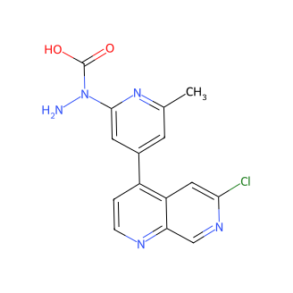 Cc1cc(-c2ccnc3cnc(Cl)cc23)cc(N(N)C(=O)O)n1